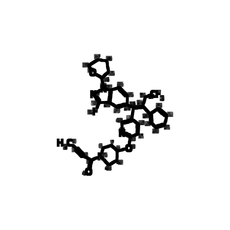 CC#CC(=O)N1CCC(Oc2ccc(/C(=C(/CC(F)(F)F)c3ccccc3)c3ccc4c(c3)c(F)nn4C3CCCCO3)cn2)CC1